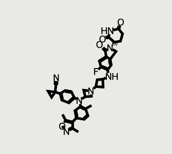 Cc1ccc(-c2c(C)noc2C)cc1N(c1ccc(C2(C#N)CC2)cc1)C1CN(C2CC(Nc3cc4c(cc3F)C(=O)N([C@H]3CCC(=O)NC3=O)C4)C2)C1